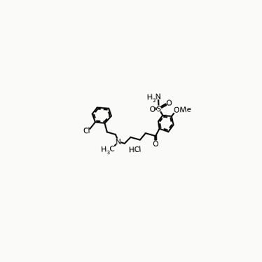 COc1ccc(C(=O)CCCCN(C)CCc2ccccc2Cl)cc1S(N)(=O)=O.Cl